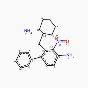 N.Nc1ccc(-c2ccccc2)c(CC2CCCCC2)c1[N+](=O)[O-]